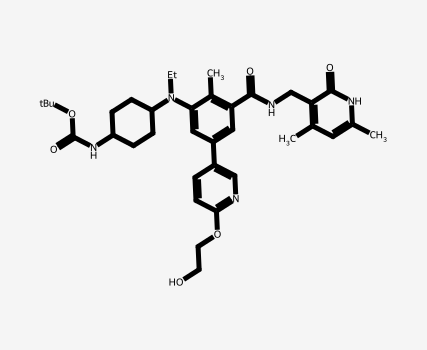 CCN(c1cc(-c2ccc(OCCO)nc2)cc(C(=O)NCc2c(C)cc(C)[nH]c2=O)c1C)C1CCC(NC(=O)OC(C)(C)C)CC1